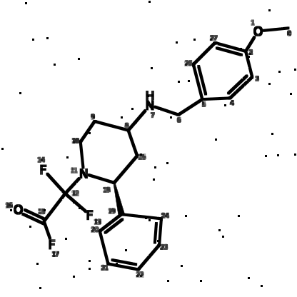 COc1ccc(CNC2CCN(C(F)(F)C(=O)F)[C@H](c3ccccc3)C2)cc1